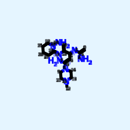 C=C(N)/N=C(\C=C(/N)N1CCN(C)CC1)C(=C)/N=C1/CCCCN1N